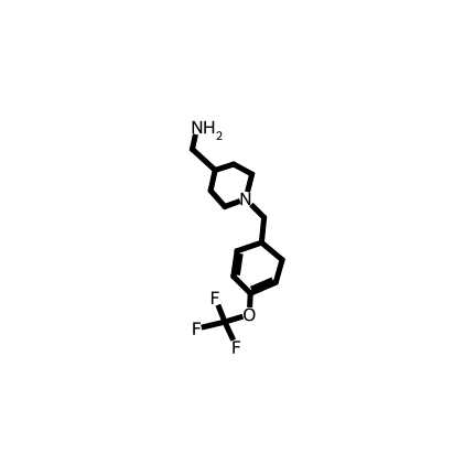 NCC1CCN(CC2C=CC(OC(F)(F)F)=CC2)CC1